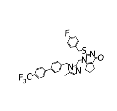 Cc1cnc(Cn2c(SCc3ccc(F)cc3)nc(=O)c3c2CCC3)n1Cc1ccc(-c2ccc(C(F)(F)F)cc2)cc1